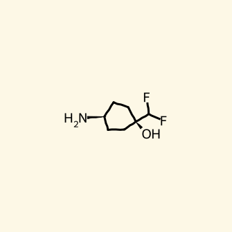 N[C@H]1CC[C@](O)(C(F)F)CC1